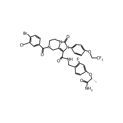 C[C@@H](Oc1ccc(CNC(=O)c2c3n(c(=O)n2-c2ccc(OCC(F)(F)F)cc2)CCN(C(=O)c2ccc(Br)c(Cl)c2)C3)c(F)c1)C(N)=O